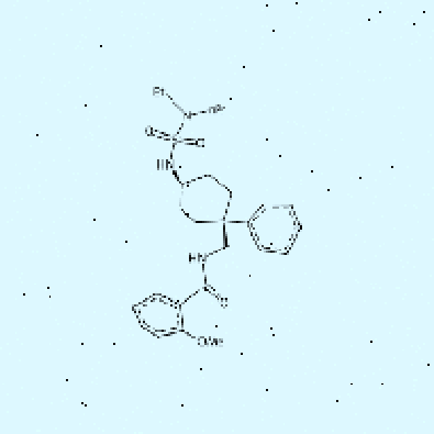 CCCN(CC)S(=O)(=O)N[C@H]1CC[C@](CNC(=O)c2ccccc2OC)(c2ccccc2)CC1